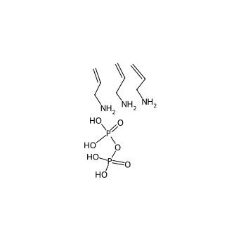 C=CCN.C=CCN.C=CCN.O=P(O)(O)OP(=O)(O)O